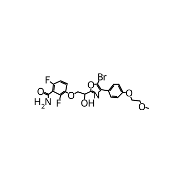 COCCOc1ccc(-c2nc(C(O)COc3ccc(F)c(C(N)=O)c3F)oc2Br)cc1